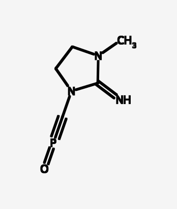 CN1CCN(C#P=O)C1=N